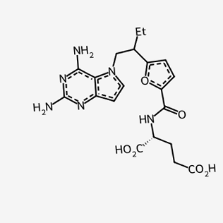 CCC(Cn1ccc2nc(N)nc(N)c21)c1ccc(C(=O)N[C@H](CCC(=O)O)C(=O)O)o1